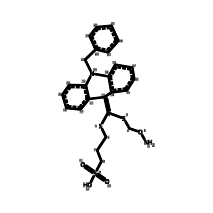 NOCSC(SCCCS(=O)(=O)O)=C1c2ccccc2N(Cc2ccccc2)c2ccccc21